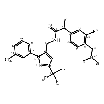 CC(C(=O)NCc1cc(C(F)(F)F)nn1-c1cccc(Cl)c1)c1ccc(CN(C)C)c(F)c1